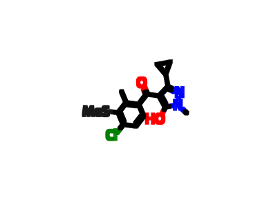 CSc1c(Cl)ccc(C(=O)c2c(C3CC3)nn(C)c2O)c1C